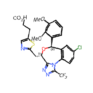 COc1cccc([C@@H]2O[C@@H](Cc3ncc(CCC(=O)O)s3)c3nnc(C(F)(F)F)n3-c3ccc(Cl)cc32)c1OC